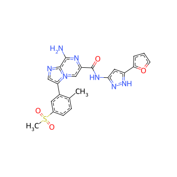 Cc1ccc(S(C)(=O)=O)cc1-c1cnc2c(N)nc(C(=O)Nc3cc(-c4ccco4)[nH]n3)cn12